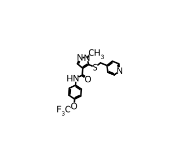 Cn1ncc(C(=O)Nc2ccc(OC(F)(F)F)cc2)c1SCc1ccncc1